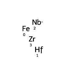 [Fe].[Hf].[Nb].[Zr]